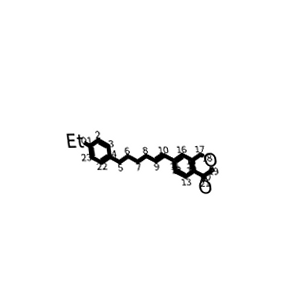 CCc1ccc(CCCC/C=C/c2ccc3c(c2)COCC3=O)cc1